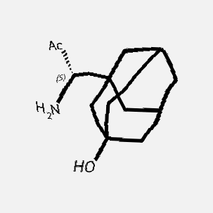 CC(=O)[C@@H](N)C12CC3CC(CC(O)(C3)C1)C2